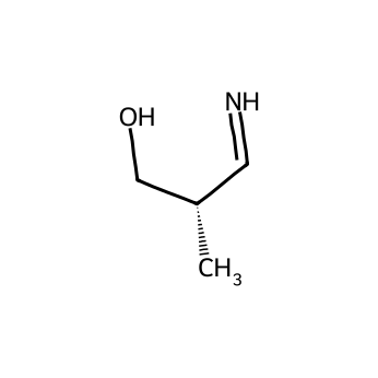 C[C@@H](C=N)CO